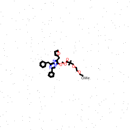 COCCOCCOCC(C)(C)C(=O)OCOc1c(Cc2ccco2)nc2c(Cc3ccccc3)nc(-c3ccccc3)cn12